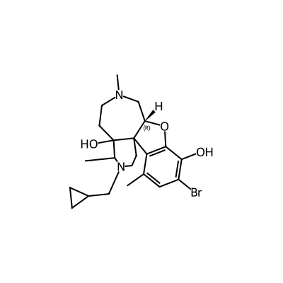 Cc1cc(Br)c(O)c2c1C13CCN(CC4CC4)C(C)C1(O)CCN(C)C[C@@H]3O2